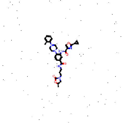 Cc1ccccc1N1CCN(c2ccc(C(=O)NCCCN3CC(C)OC3=O)cc2NC(=O)c2coc(C3CC3)n2)CC1